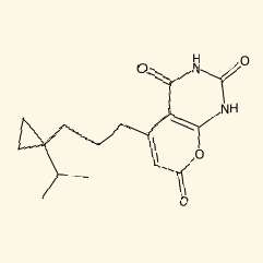 CC(C)C1(CCCc2cc(=O)oc3[nH]c(=O)[nH]c(=O)c23)CC1